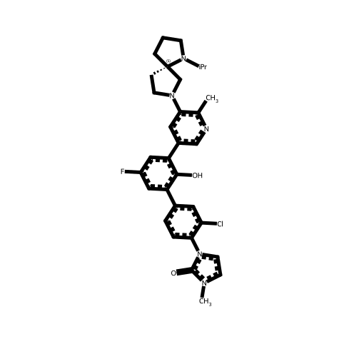 Cc1ncc(-c2cc(F)cc(-c3ccc(-n4ccn(C)c4=O)c(Cl)c3)c2O)cc1N1CC[C@@]2(CCCN2C(C)C)C1